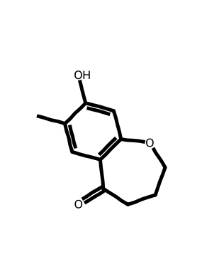 Cc1cc2c(cc1O)OCCCC2=O